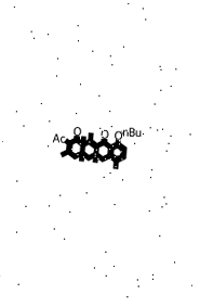 CCCCOc1ccc(C)c2c1C(=O)C1=C(C)C3(C)C(=O)C(C(C)=O)=C(C)CC3(C)CC1(C)C2